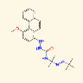 COc1ccc(NNC(=O)NC(C)(C)N=NC(C)(C)C)c2ccc3ccccc3c12